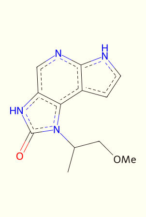 COCC(C)n1c(=O)[nH]c2cnc3[nH]ccc3c21